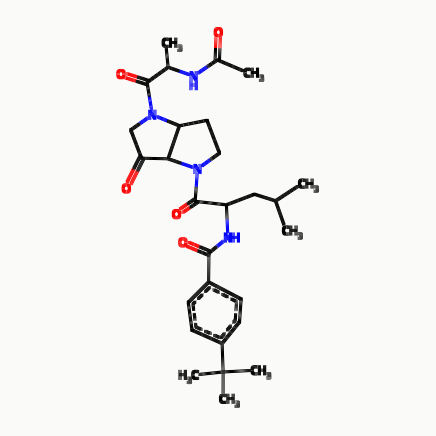 CC(=O)NC(C)C(=O)N1CC(=O)C2C1CCN2C(=O)C(CC(C)C)NC(=O)c1ccc(C(C)(C)C)cc1